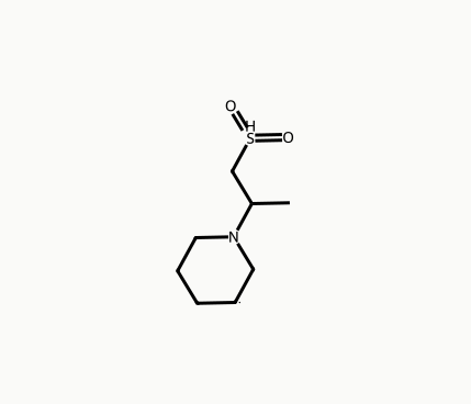 CC(C[SH](=O)=O)N1C[CH]CCC1